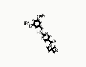 CC(C)Oc1cc(CNc2ncc(C(=O)N3CCC34COC4)cn2)cc(OC(C)C)c1